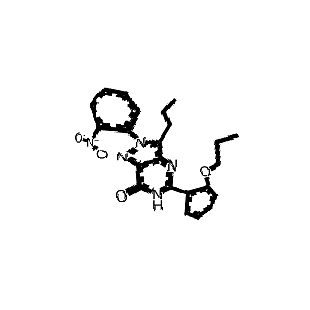 CCCOc1ccccc1-c1nc2c(CCC)n(-c3ccccc3[N+](=O)[O-])nc2c(=O)[nH]1